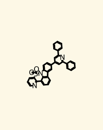 O=S1(=O)c2cccnc2-c2cccc3c4cc(-c5cc(-c6ccccc6)nc(-c6ccccc6)c5)ccc4n1c23